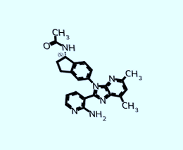 CC(=O)N[C@H]1CCc2cc(-n3c(-c4cccnc4N)nc4c(C)cc(C)nc43)ccc21